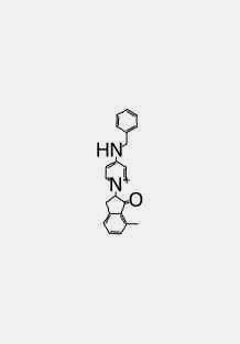 Cc1cccc2c1C(=O)C([n+]1ccc(NCc3ccccc3)cc1)C2